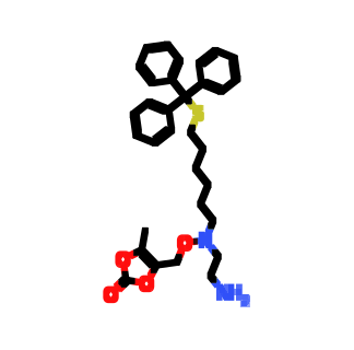 Cc1oc(=O)oc1CON(CCN)CCCCCCSC(c1ccccc1)(c1ccccc1)c1ccccc1